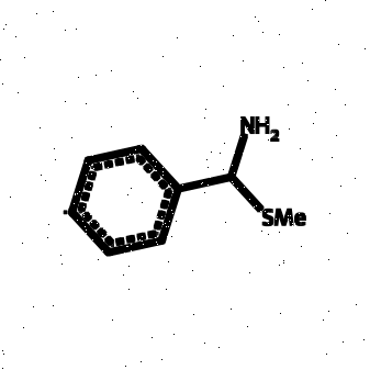 CSC(N)c1cc[c]cc1